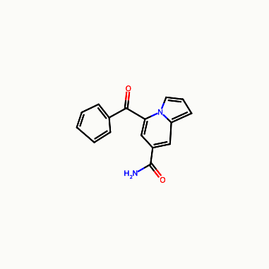 NC(=O)c1cc(C(=O)c2ccccc2)n2cccc2c1